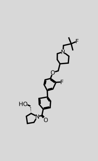 CC(C)(F)CN1CCC(COc2ccc(-c3ccc(C(=O)N4CCC[C@@H]4CO)cc3)cc2F)CC1